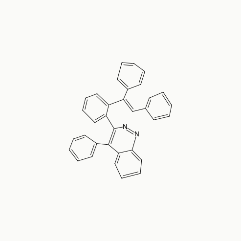 C(=C(c1ccccc1)c1ccccc1-c1nnc2ccccc2c1-c1ccccc1)c1ccccc1